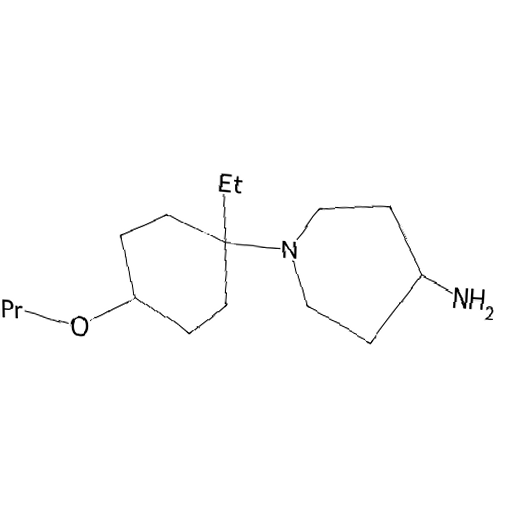 CCCOC1CCC(CC)(N2CCC(N)CC2)CC1